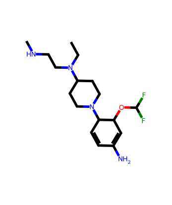 CCN(CCNC)C1CCN(C2C=CC(N)=CC2OC(F)F)CC1